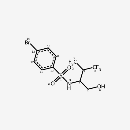 O=S(=O)(NC(CO)C(C(F)(F)F)C(F)(F)F)c1ccc(Br)cc1